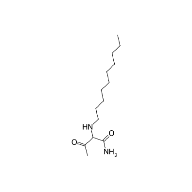 CCCCCCCCCCNC(C(C)=O)C(N)=O